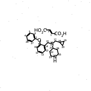 O=C(O)C=CC(=O)O.c1ccc(Oc2ccccc2CN(CC2CC2)C2CCNCC2)cc1